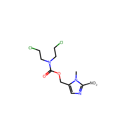 Cn1c(COC(=O)N(CCCl)CCCl)cnc1[N+](=O)[O-]